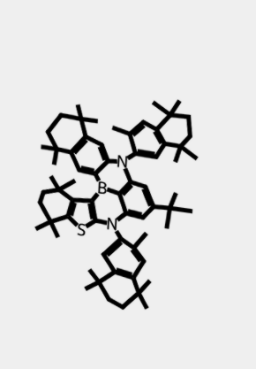 Cc1cc2c(cc1N1c3cc4c(cc3B3c5c1cc(C(C)(C)C)cc5N(c1cc5c(cc1C)C(C)(C)CCC5(C)C)c1sc5c(c13)C(C)(C)CCC5(C)C)C(C)(C)CCC4(C)C)C(C)(C)CCC2(C)C